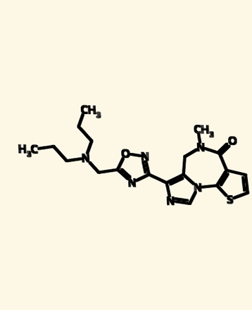 CCCN(CCC)Cc1nc(-c2ncn3c2CN(C)C(=O)c2ccsc2-3)no1